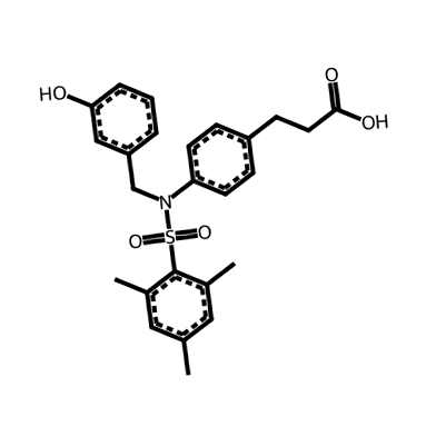 Cc1cc(C)c(S(=O)(=O)N(Cc2cccc(O)c2)c2ccc(CCC(=O)O)cc2)c(C)c1